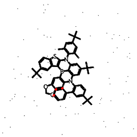 Cc1cc(C(C)(C)C)cc(C)c1N1c2cc(C(C)(C)C)cc3c2B(c2cc4c(cc2N3c2ccc(C(C)(C)C)cc2-c2ccccc2)OCO4)c2c1sc1ccc(C(C)(C)C)cc21